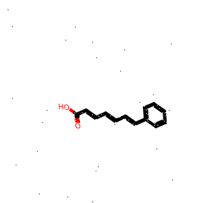 O=C(O)C=CC=CC=Cc1ccccc1